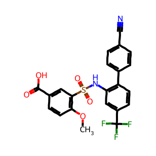 COc1ccc(C(=O)O)cc1S(=O)(=O)Nc1cc(C(F)(F)F)ccc1-c1ccc(C#N)cc1